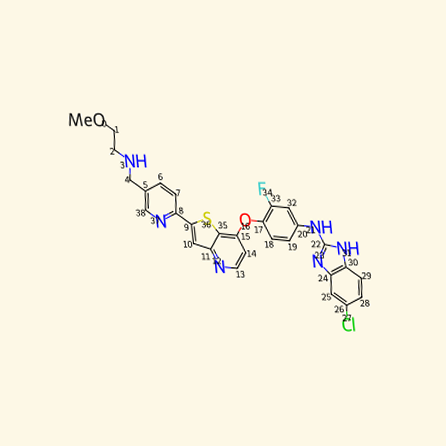 COCCNCc1ccc(-c2cc3nccc(Oc4ccc(Nc5nc6cc(Cl)ccc6[nH]5)cc4F)c3s2)nc1